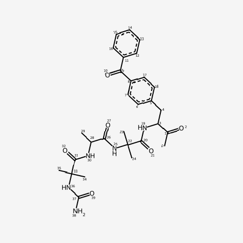 CC(=O)C(Cc1ccc(C(=O)c2ccccc2)cc1)NC(=O)C(C)(C)NC(=O)C(C)NC(=O)C(C)(C)NC(N)=O